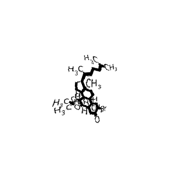 CC(C)CCC[C@@H](C)[C@H]1CC[C@H]2[C@@H]3[C@H]4OC(C)(C)O[C@@H]4[C@H]4CC(=O)C(Br)C[C@]4(C)[C@H]3CC[C@]12C